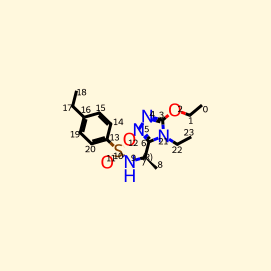 CCOc1nnc([C@@H](C)NS(=O)(=O)c2ccc(CC)cc2)n1CC